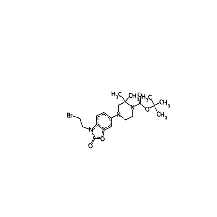 CC(C)(C)OC(=O)N1CCN(c2ccc3c(c2)oc(=O)n3CCBr)CC1(C)C